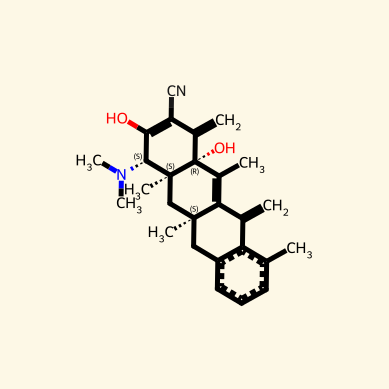 C=C1C2=C(C)[C@]3(O)C(=C)C(C#N)=C(O)[C@@H](N(C)C)[C@]3(C)C[C@]2(C)Cc2cccc(C)c21